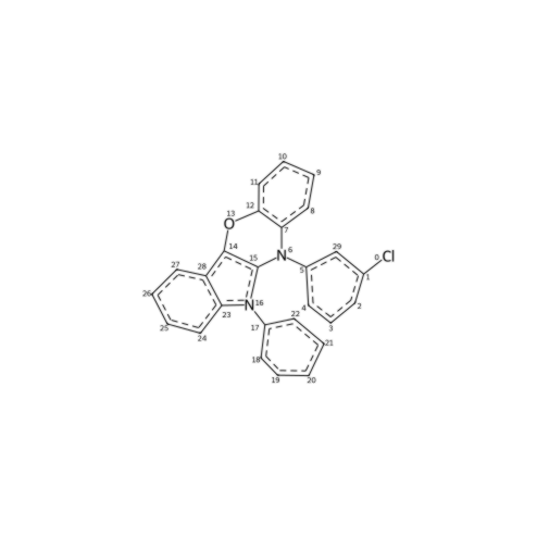 Clc1cccc(N2c3ccccc3Oc3c2n(-c2ccccc2)c2ccccc32)c1